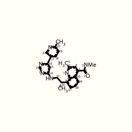 CNC(=O)c1cc(C)nc2c([C@H](C)CNc3cc(-c4ccc(C)nc4)ncn3)cccc12